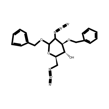 [N-]=[N+]=NC[C@H]1OC(OCc2ccccc2)C(N=[N+]=[N-])[C@@H](OCc2ccccc2)[C@@H]1O